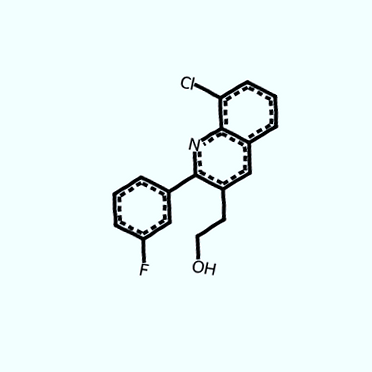 OCCc1cc2cccc(Cl)c2nc1-c1cccc(F)c1